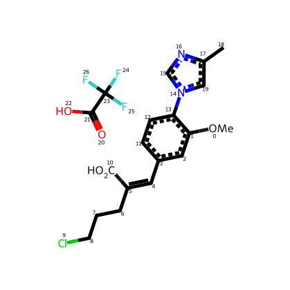 COc1cc(/C=C(/CCCCl)C(=O)O)ccc1-n1cnc(C)c1.O=C(O)C(F)(F)F